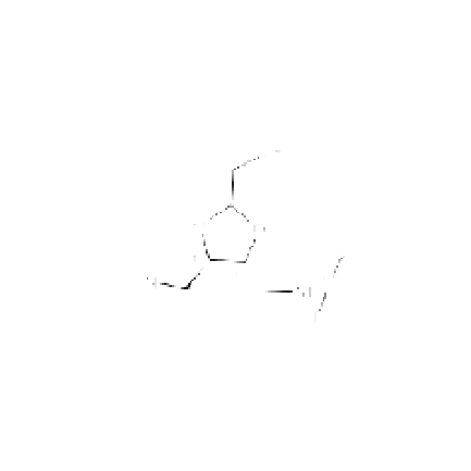 CC(C)CC1O[C@H](CN)[C@@H](CN)O1.[I][Pt][I]